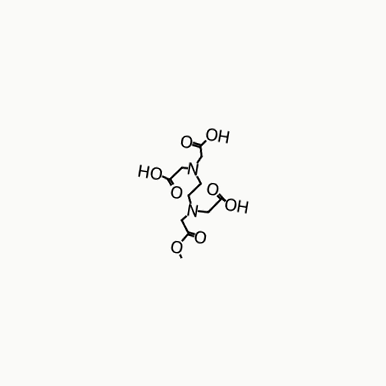 COC(=O)CN(CCN(CC(=O)O)CC(=O)O)CC(=O)O